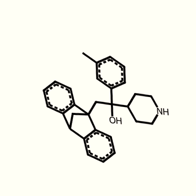 Cc1cccc(C(O)(CC23CC(c4ccccc42)c2ccccc23)C2CCNCC2)c1